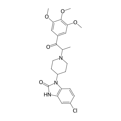 COc1cc(C(=O)C(C)N2CCC(n3c(=O)[nH]c4cc(Cl)ccc43)CC2)cc(OC)c1OC